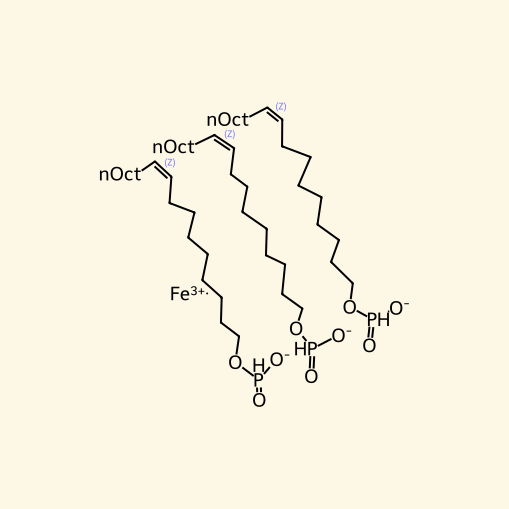 CCCCCCCC/C=C\CCCCCCCCO[PH](=O)[O-].CCCCCCCC/C=C\CCCCCCCCO[PH](=O)[O-].CCCCCCCC/C=C\CCCCCCCCO[PH](=O)[O-].[Fe+3]